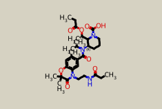 CCC(=O)NCCN1C(=O)C(C)(C)Oc2cc(C)c(C(=O)N(C(C)C)[C@@H]3CCCN(C(=O)O)C3[C@H](C)OC(=O)CC)cc21